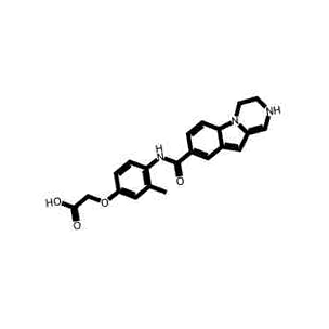 Cc1cc(OCC(=O)O)ccc1NC(=O)C1=CC2=CC3=CNCCN3C2C=C1